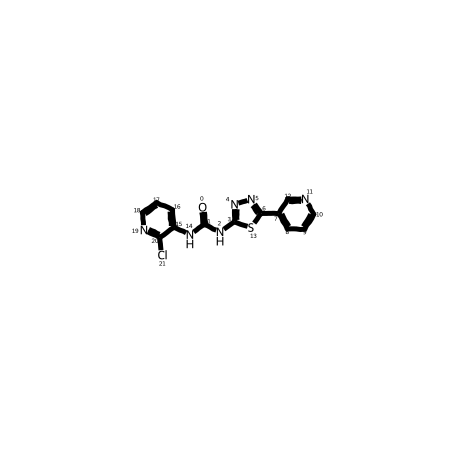 O=C(Nc1nnc(-c2cccnc2)s1)Nc1cccnc1Cl